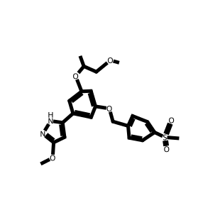 COCC(C)Oc1cc(OCc2ccc(S(C)(=O)=O)cc2)cc(-c2cc(OC)n[nH]2)c1